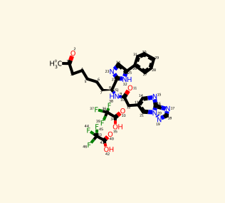 CC(=O)CCCCC[C@H](NC(=O)Cc1cnc2ncnn2c1)c1ncc(-c2ccccc2)[nH]1.O=C(O)C(F)(F)F.O=C(O)C(F)(F)F